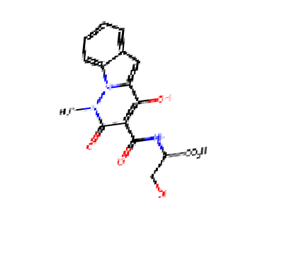 Cn1c(=O)c(C(=O)NC(CO)C(=O)O)c(O)c2cc3ccccc3n21